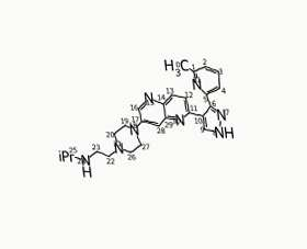 Cc1cccc(-c2n[nH]cc2-c2ccc3ncc(N4CCN(CCNC(C)C)CC4)cc3n2)n1